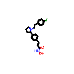 O=C(C=Cc1ccc(C2CCCN2CCc2ccc(F)cc2)cc1)NO